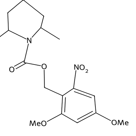 COc1cc(OC)c(COC(=O)N2C(C)CCCC2C)c([N+](=O)[O-])c1